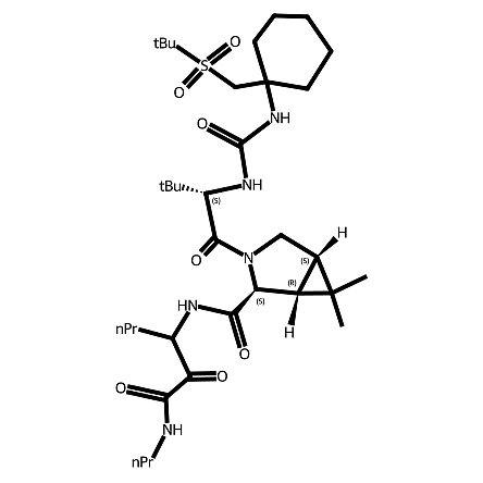 CCCNC(=O)C(=O)C(CCC)NC(=O)[C@@H]1[C@@H]2[C@H](CN1C(=O)[C@@H](NC(=O)NC1(CS(=O)(=O)C(C)(C)C)CCCCC1)C(C)(C)C)C2(C)C